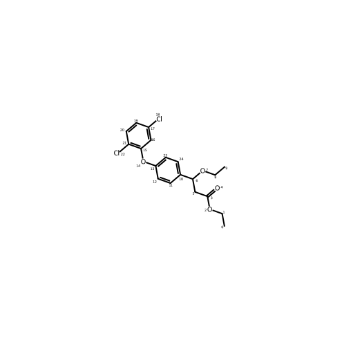 CCOC(=O)CC(OCC)c1ccc(Oc2cc(Cl)ccc2Cl)cc1